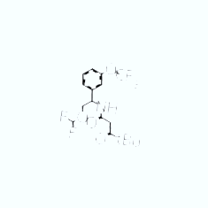 CC(C)(C)C(=O)CC(=O)NC(COC(F)F)c1cccc(OC(F)(F)F)c1